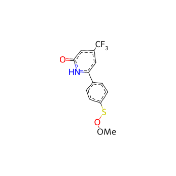 COOSc1ccc(-c2cc(C(F)(F)F)cc(=O)[nH]2)cc1